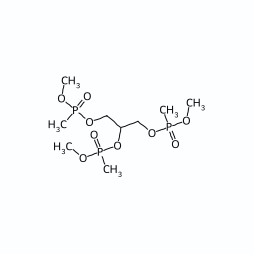 COP(C)(=O)OCC(COP(C)(=O)OC)OP(C)(=O)OC